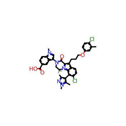 Cc1cc(OCCCc2c3n(c4c(-c5c(C)nn(C)c5C)c(Cl)ccc24)[C@H](C)CN(c2cn(C)c4ccc(C(=O)O)cc24)C3=O)ccc1Cl